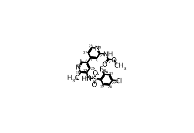 COC(=O)Nc1cc(-c2cnc(C)c(NS(=O)(=O)c3ccc(Cl)cc3F)c2)ccn1